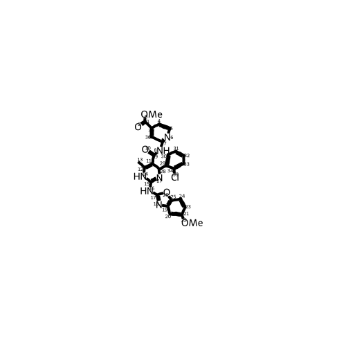 COC(=O)c1ccnc(NC(=O)C2=C(C)NC(Nc3nc4cc(OC)ccc4o3)=NC2c2ccccc2Cl)c1